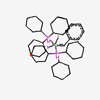 [I][Ru]([I])(=[CH]c1ccccc1)([PH](C1CCCCC1)(C1CCCCC1)C1CCCCC1)[PH](C1CCCCC1)(C1CCCCC1)C1CCCCC1